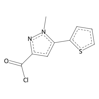 Cn1nc(C(=O)Cl)cc1-c1cccs1